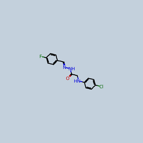 O=C(CNc1ccc(Cl)cc1)NN=Cc1ccc(F)cc1